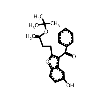 C=C(CCc1oc2ccc(O)cc2c1C(=O)c1ccccc1)OC(C)(C)C